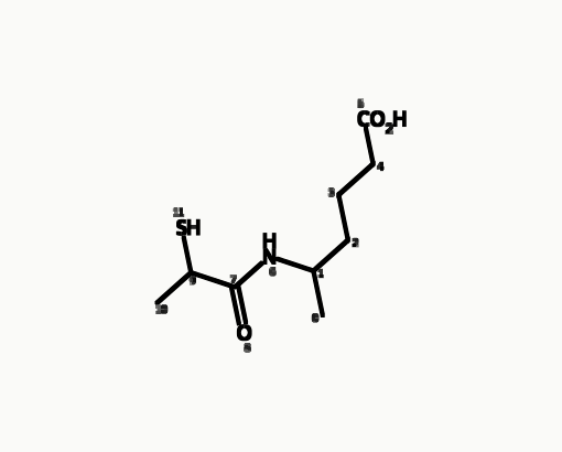 CC(CCCC(=O)O)NC(=O)C(C)S